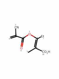 C=C(C#N)C(=O)OC(CC)=C(C)C(=O)O